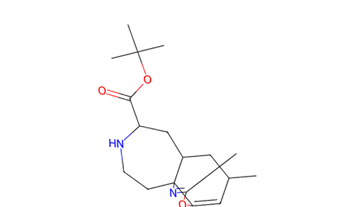 CC1=NC23CCNC(C(=O)OC(C)(C)C)CC2CC(C)C=C3O1